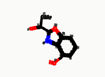 COC(=O)c1nc2c(O)cccc2o1